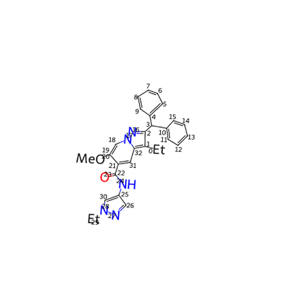 CCc1c(C(c2ccccc2)c2ccccc2)nn2cc(OC)c(C(=O)Nc3cnn(CC)c3)cc12